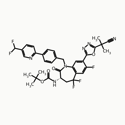 CC(C)(C)OC(=O)N[C@H]1CC(F)(F)c2cc(F)c(-c3nnc(C(C)(C)C#N)o3)cc2N(Cc2ccc(-c3ccc(C(F)F)cn3)cc2)C1=O